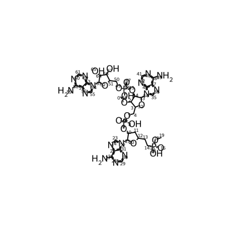 COC1C(COP(=O)(O)OC2CC(CCP(=O)(O)OC)OC2n2cnc3c(N)ncnc32)OC(n2cnc3c(N)ncnc32)C1OP(=O)(O)OCC1OC(n2cnc3c(N)ncnc32)C(O)C1O